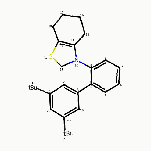 CC(C)(C)c1cc(-c2ccccc2N2CSC3=C2CCCC3)cc(C(C)(C)C)c1